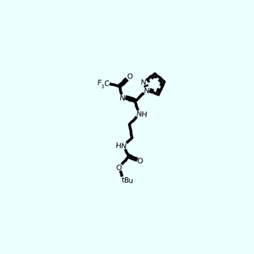 CC(C)(C)OC(=O)NCCN/C(=N/C(=O)C(F)(F)F)n1cccn1